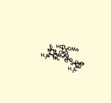 C#C[C@]1(OC(=O)OC)O[C@@H](n2cnc3c(N)nc(F)nc32)C[C@@H]1OC(=O)OCc1oc(=O)oc1C